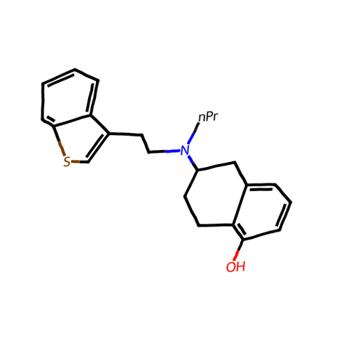 CCCN(CCc1csc2ccccc12)C1CCc2c(O)cccc2C1